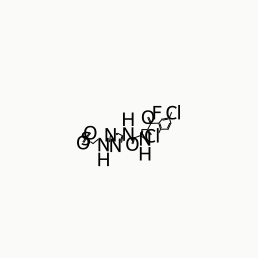 CS(=O)(=O)CCNc1ncc(NC(=O)c2cc(C(=O)c3c(Cl)ccc(Cl)c3F)c[nH]2)cn1